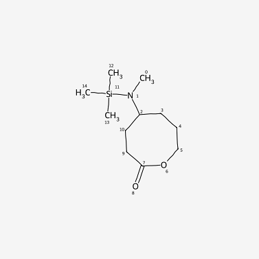 CN(C1CCCOC(=O)CC1)[Si](C)(C)C